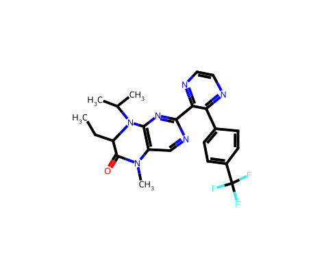 CCC1C(=O)N(C)c2cnc(-c3nccnc3-c3ccc(C(F)(F)F)cc3)nc2N1C(C)C